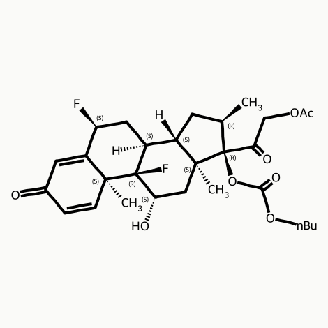 CCCCOC(=O)O[C@]1(C(=O)COC(C)=O)[C@H](C)C[C@H]2[C@@H]3C[C@H](F)C4=CC(=O)C=C[C@]4(C)[C@@]3(F)[C@@H](O)C[C@@]21C